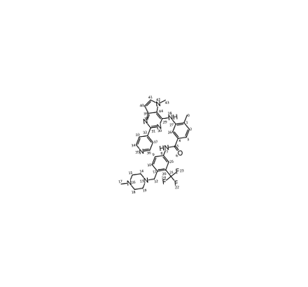 Cc1ccc(C(=O)Nc2ccc(CN3CCN(C)CC3)c(C(F)(F)F)c2)cc1Nc1nc(-c2ccncc2)nc2ccn(C)c12